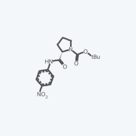 CC(C)(C)OC(=O)N1CCC[C@H]1C(=O)Nc1ccc([N+](=O)[O-])cc1